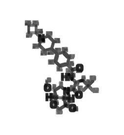 CO[C@@H]1CN(C(=O)[C@H](CC(C)(C)C)NC(=O)c2ccc(C3CCN(C4CCC4)CC3)cc2)[C@@H]2C(=O)CO[C@@H]21